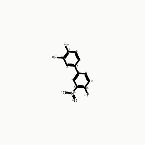 O=[N+]([O-])c1cc(-c2ccc(F)c(F)c2)ccc1F